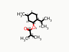 CC1CCC(C(C)C)C(OC(=O)C(C)C)C1